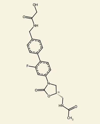 CC(=O)NC[C@H]1CN(c2ccc(-c3ccc(CNC(=O)CO)cc3)c(F)c2)C(=O)O1